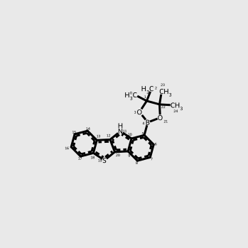 CC1(C)OB(c2cccc3c2[nH]c2c4ccccc4sc32)OC1(C)C